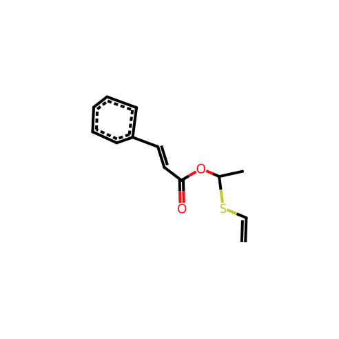 C=CSC(C)OC(=O)/C=C/c1ccccc1